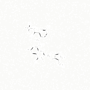 Cc1cc([C@@H](C)Nc2ccc(Cl)nc2C(=O)NS(C)(=O)=O)c2nc(N3Cc4n[nH]c(N)c4C3)n(C)c(=O)c2c1